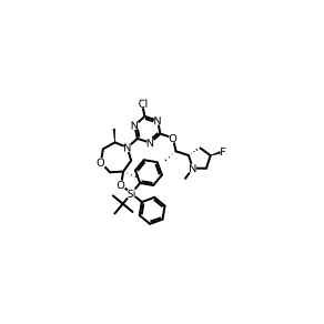 C[C@H](Oc1nc(Cl)nc(N2C[C@@](C)(O[Si](c3ccccc3)(c3ccccc3)C(C)(C)C)COC[C@H]2C)n1)[C@@H]1C[C@@H](F)CN1C